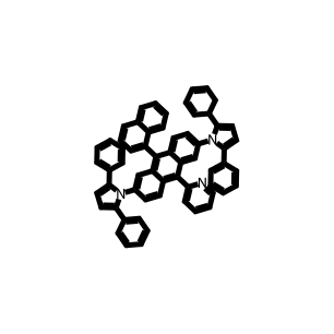 C1=CCC(c2ccc(-c3ccccc3)n2-c2ccc3c(-c4cccc5ccccc45)c4cc(-n5c(-c6ccccc6)ccc5-c5ccccc5)ccc4c(-c4ccccn4)c3c2)C=C1